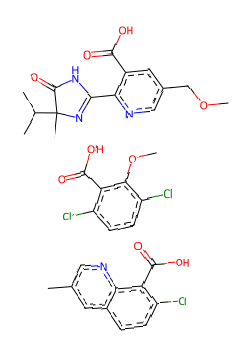 COCc1cnc(C2=NC(C)(C(C)C)C(=O)N2)c(C(=O)O)c1.COc1c(Cl)ccc(Cl)c1C(=O)O.Cc1cnc2c(C(=O)O)c(Cl)ccc2c1